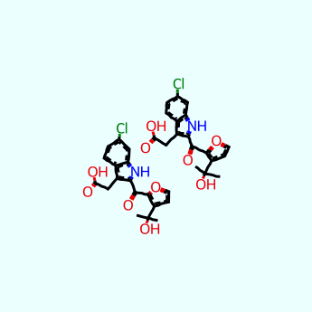 CC(C)(O)c1ccoc1C(=O)c1[nH]c2cc(Cl)ccc2c1CC(=O)O.CC(C)(O)c1ccoc1C(=O)c1[nH]c2cc(Cl)ccc2c1CC(=O)O